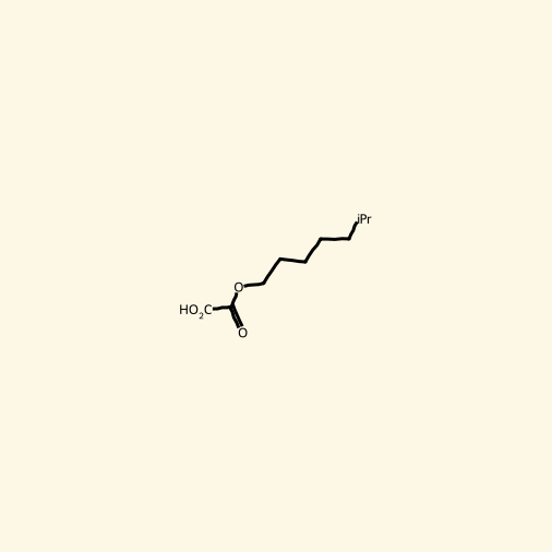 CC(C)CCCCCOC(=O)C(=O)O